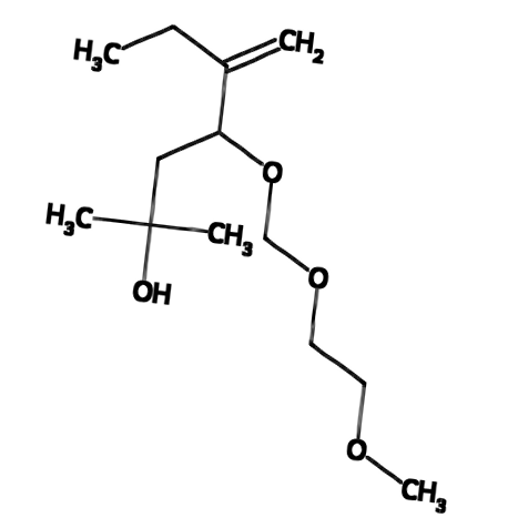 C=C(CC)C(CC(C)(C)O)OCOCCOC